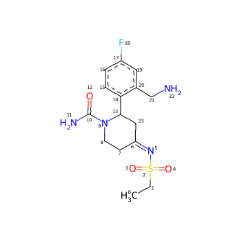 CCS(=O)(=O)N=C1CCN(C(N)=O)C(c2ccc(F)cc2CN)C1